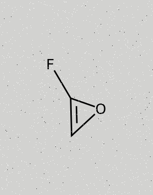 FC1=CO1